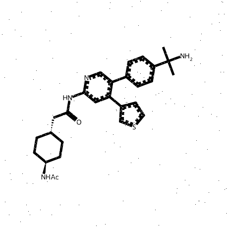 CC(=O)N[C@H]1CC[C@H](CC(=O)Nc2cc(-c3ccsc3)c(-c3ccc(C(C)(C)N)cc3)cn2)CC1